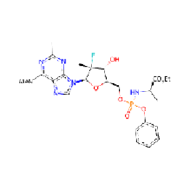 CCOC(=O)[C@@H](C)N[P@](=O)(OC[C@H]1O[C@@H](n2cnc3c(NC)nc(C)nc32)[C@](C)(F)[C@@H]1O)Oc1ccccc1